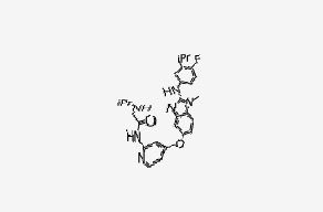 CC(C)NCC(=O)Nc1cc(Oc2ccc3c(c2)nc(Nc2ccc(F)c(C(C)C)c2)n3C)ccn1